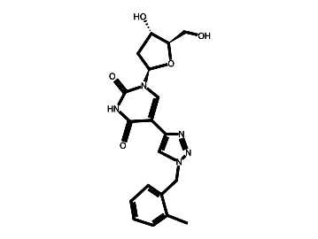 Cc1ccccc1Cn1cc(-c2cn([C@H]3C[C@H](O)[C@@H](CO)O3)c(=O)[nH]c2=O)nn1